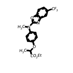 CCOC(=O)C(C)Oc1ccc(N(C)c2nc3cc(C(F)(F)F)ccc3o2)cc1